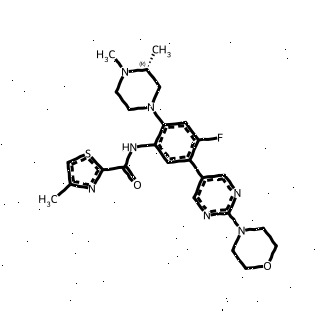 Cc1csc(C(=O)Nc2cc(-c3cnc(N4CCOCC4)nc3)c(F)cc2N2CCN(C)[C@H](C)C2)n1